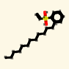 C=CS(=O)(=O)c1ccccc1CCCCCCCCCCCC